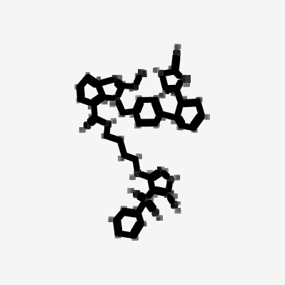 CCOc1nc2cccc(C(=O)OCCCCOc3no[n+]([O-])c3S(=O)(=O)c3ccccc3)c2n1Cc1ccc(-c2ccccc2-c2noc(=O)[nH]2)cc1